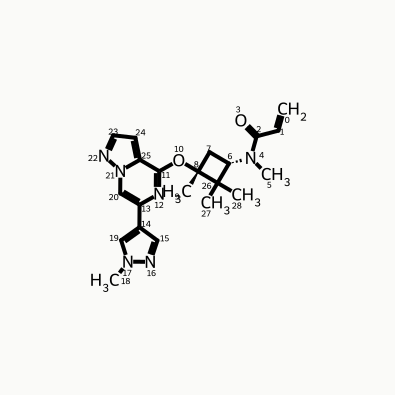 C=CC(=O)N(C)[C@H]1C[C@@](C)(Oc2nc(-c3cnn(C)c3)cn3nccc23)C1(C)C